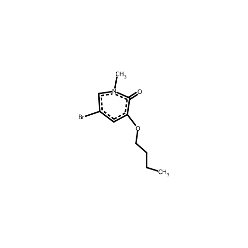 CCCCOc1cc(Br)cn(C)c1=O